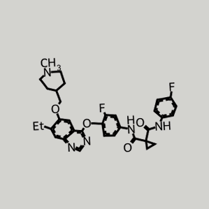 CCc1cc2ncnc(Oc3ccc(NC(=O)C4(C(=O)Nc5ccc(F)cc5)CC4)cc3F)c2cc1OCC1CCN(C)CC1